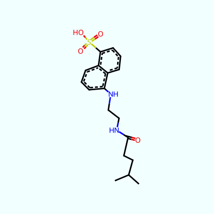 CC(C)CCC(=O)NCCNc1cccc2c(S(=O)(=O)O)cccc12